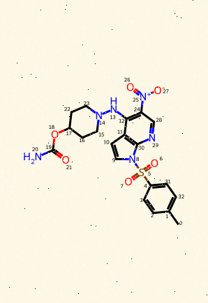 Cc1ccc(S(=O)(=O)n2ccc3c(NN4CCC(OC(N)=O)CC4)c([N+](=O)[O-])cnc32)cc1